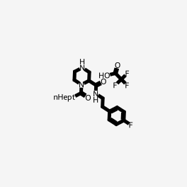 CCCCCCCC(=O)N1CCNCC1C(=O)NCCc1ccc(F)cc1.O=C(O)C(F)(F)F